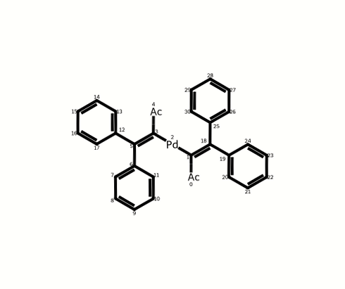 CC(=O)[C]([Pd][C](C(C)=O)=C(c1ccccc1)c1ccccc1)=C(c1ccccc1)c1ccccc1